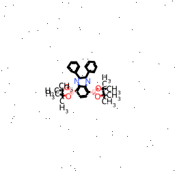 CC1(C)OB(c2ccc(B3OC(C)(C)C(C)(C)O3)c3nc(-c4ccccc4)c(-c4ccccc4)nc23)OC1(C)C